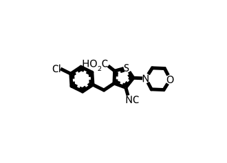 [C-]#[N+]c1c(N2CCOCC2)sc(C(=O)O)c1Cc1ccc(Cl)cc1